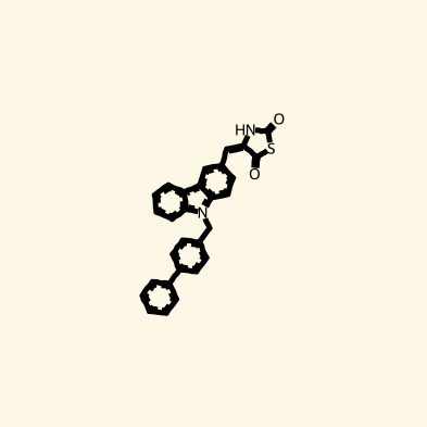 O=C1NC(=Cc2ccc3c(c2)c2ccccc2n3Cc2ccc(-c3ccccc3)cc2)C(=O)S1